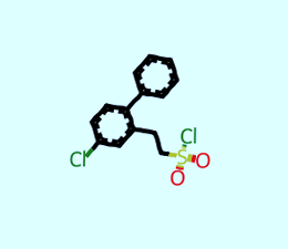 O=S(=O)(Cl)CCc1cc(Cl)ccc1-c1ccccc1